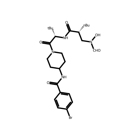 CCCC[C@H](CN(O)C=O)C(=O)N[C@H](C(=O)N1CCC(NC(=O)c2ccc(Br)cc2)CC1)C(C)(C)C